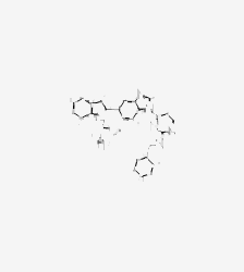 C[C@H](Nc1nccc(-n2cnc3cc(-c4cc5ccccc5n4C(=O)OC(C)(C)C)ccc32)n1)c1ccccc1